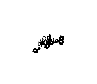 CCOC(=O)c1[nH]c2c(-c3c(COCc4ccccc4)nn(C)c3CO)cccc2c1CCCOc1cccc2ccccc12